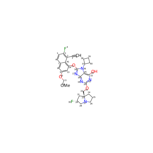 C#Cc1c(F)ccc2cc(OCOC)cc(Oc3nc4nc(OC[C@@]56CCCN5C[C@H](F)C6)nc(O)c4n3C3CCC3)c12